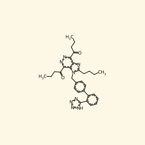 CCCCc1nc2c(C(=O)CCC)nnc(C(=O)CCC)c2n1Cc1ccc(-c2ccccc2-c2nnn[nH]2)cc1